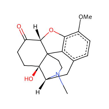 COc1ccc2c3c1O[C@H]1C(=O)CC[C@@]4(O)[C@@H](C2)N(C)CCC314